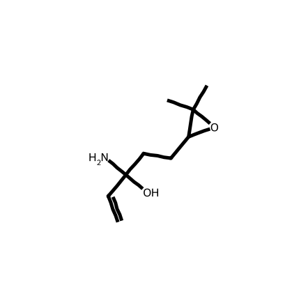 C=CC(N)(O)CCC1OC1(C)C